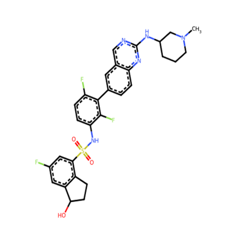 CN1CCCC(Nc2ncc3cc(-c4c(F)ccc(NS(=O)(=O)c5cc(F)cc6c5CCC6O)c4F)ccc3n2)C1